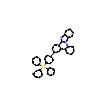 c1ccc(S(c2ccccc2)(c2ccccc2)c2ccc(-c3ccc4c(c3)c3ccccc3n3c5ccccc5nc43)cc2)cc1